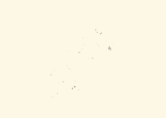 COc1ccc([CH]c2ccc(OC)c(OC)c2)cc1OC